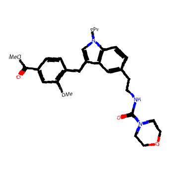 CCCn1cc(Cc2ccc(C(=O)OC)cc2OC)c2cc(CCNC(=O)N3CCOCC3)ccc21